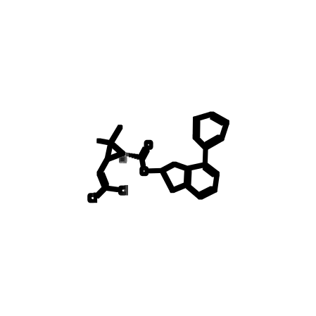 CC1(C)C(C=C(Cl)Cl)[C@H]1C(=O)OC1Cc2cccc(-c3ccccc3)c2C1